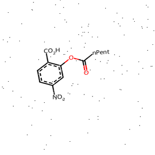 CCCCCC(=O)Oc1cc([N+](=O)[O-])ccc1C(=O)O